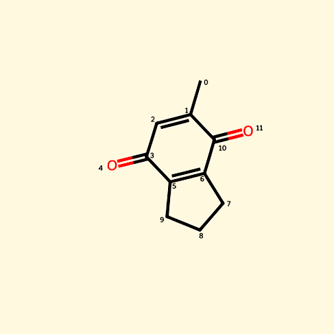 CC1=CC(=O)C2=C(CCC2)C1=O